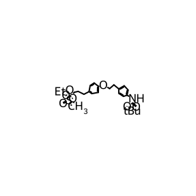 CCOC(CCc1ccc(OCCc2ccc(NC(=O)OC(C)(C)C)cc2)cc1)OS(C)(=O)=O